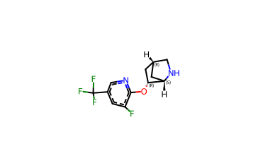 Fc1cc(C(F)(F)F)cnc1O[C@@H]1C[C@@H]2CN[C@H]1C2